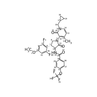 COc1cc(F)c([C@@H]2CN(c3c(C)ccn(CC4CC4)c3=O)C(=O)C2NC(=O)c2ccc(OC(F)(F)F)cc2)c(F)c1